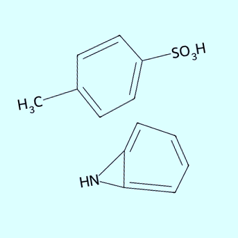 Cc1ccc(S(=O)(=O)O)cc1.c1ccc2c(c1)N2